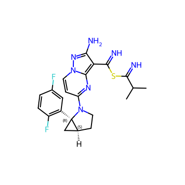 CC(C)C(=N)SC(=N)c1c(N)nn2ccc(N3CC[C@H]4C[C@]43c3cc(F)ccc3F)nc12